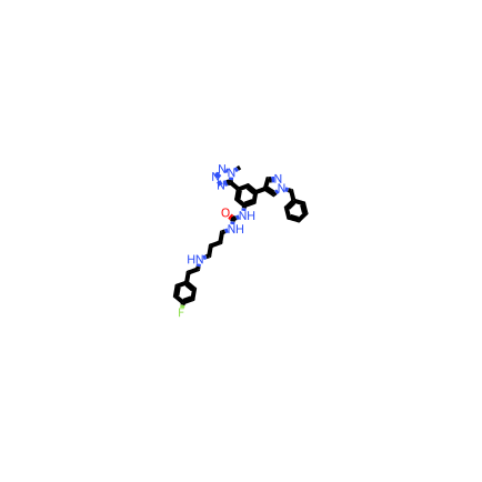 Cn1nnnc1-c1cc(NC(=O)NCCCCNCCc2ccc(F)cc2)cc(-c2cnn(Cc3ccccc3)c2)c1